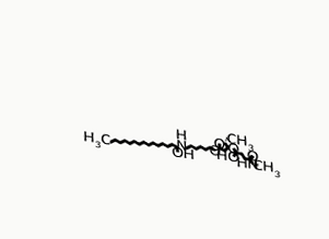 CCCCCCCCCCCCCCCC(O)NCCCCCCO[C@@H]1CC(OC(O)CCC(=O)NC)[C@@H](CC)O1